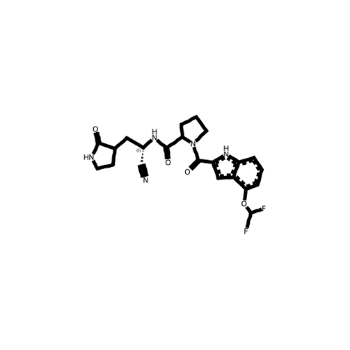 N#C[C@H](CC1CCNC1=O)NC(=O)C1CCCN1C(=O)c1cc2c(OC(F)F)cccc2[nH]1